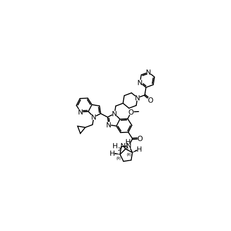 COc1cc(C(=O)N2C[C@H]3CC[C@@H]2[C@@H]3N)cc2nc(-c3cc4cccnc4n3CC3CC3)n(CC3CCN(C(=O)c4ccncn4)CC3)c12